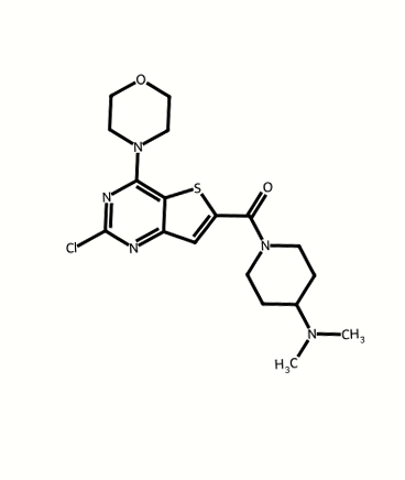 CN(C)C1CCN(C(=O)c2cc3nc(Cl)nc(N4CCOCC4)c3s2)CC1